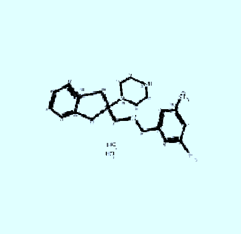 Cl.Cl.Fc1cc(COCC2(N3CCNCC3)Cc3ccccc3C2)cc(C(F)(F)F)c1